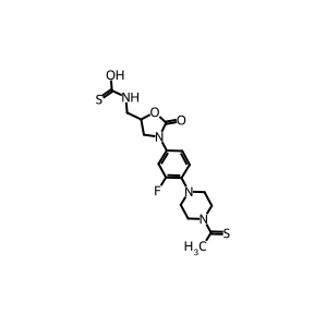 CC(=S)N1CCN(c2ccc(N3CC(CNC(O)=S)OC3=O)cc2F)CC1